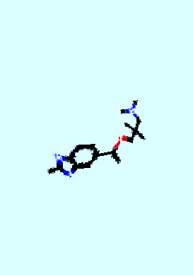 Cc1nc2cc(C(C)OCC(C)(C)CN(C)C)ccc2[nH]1